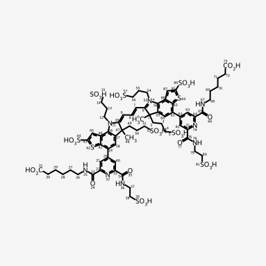 CC1(CCCS(=O)(=O)O)C(/C=C/C=C2/N(CCCS(=O)(=O)O)c3c(cc(-c4cc(C(=O)NCCCCCC(=O)O)nc(C(=O)NCCS(=O)(=O)O)c4)c4sc(S(=O)(=O)O)cc34)C2(C)CCCS(=O)(=O)O)=[N+](CCCS(=O)(=O)O)c2c1cc(-c1cc(C(=O)NCCCCCC(=O)O)nc(C(=O)NCCS(=O)(=O)O)c1)c1sc(S(=O)(=O)O)cc21